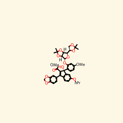 CCCOc1ccc2c(c1)[C@](O)(c1ccc(OC)cc1O[C@H]1O[C@H]([C@H]3COC(C)(C)O3)[C@@H]3OC(C)(C)O[C@H]13)C(C(=O)OC)=C2c1ccc2c(c1)OCO2